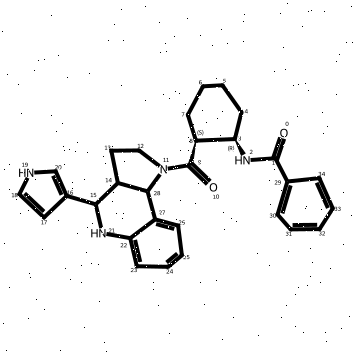 O=C(N[C@@H]1CCCC[C@@H]1C(=O)N1CCC2C(c3cc[nH]c3)Nc3ccccc3C21)c1ccccc1